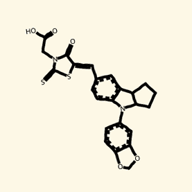 O=C(O)CN1C(=O)/C(=C/c2ccc3c(c2)C2CCCC2N3c2ccc3c(c2)OCO3)SC1=S